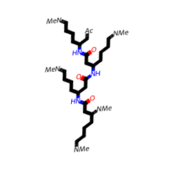 CNCCCCC(CC(=O)NC(CCCCNC)CC(=O)NC(CCCCNC)CC(=O)NC(CCCCNC)CC(C)=O)NC